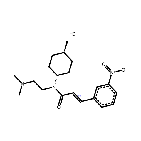 CN(C)CCN(C(=O)/C=C/c1cccc([N+](=O)[O-])c1)[C@H]1CC[C@H](C)CC1.Cl